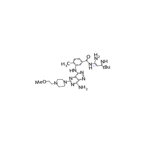 COCCN1CCN(c2nc(N)c3ncnc(Nc4cc(C(=O)N/C(N)=C/C(=N)C(C)(C)C)ccc4C)c3n2)CC1